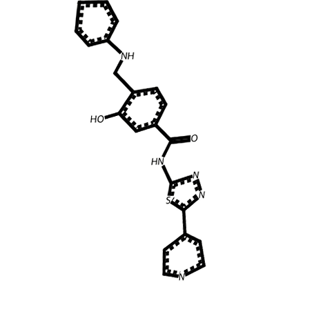 O=C(Nc1nnc(-c2ccncc2)s1)c1ccc(CNc2ccccc2)c(O)c1